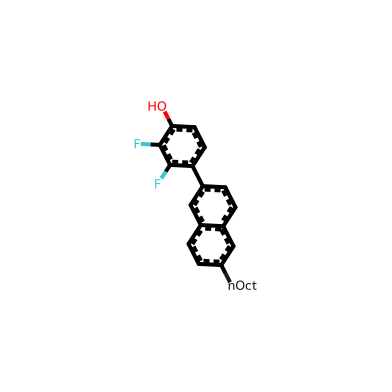 CCCCCCCCc1ccc2cc(-c3ccc(O)c(F)c3F)ccc2c1